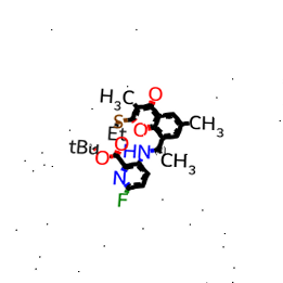 CCSc1oc2c([C@@H](C)Nc3ccc(F)nc3C(=O)OC(C)(C)C)cc(C)cc2c(=O)c1C